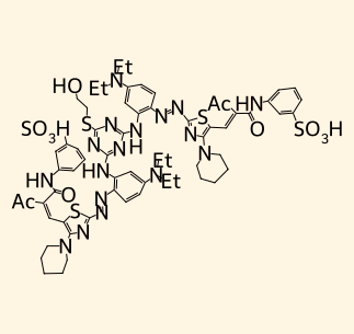 CCN(CC)c1ccc(/N=N/c2nc(N3CCCCC3)c(/C=C(/C(C)=O)C(=O)Nc3cccc(S(=O)(=O)O)c3)s2)c(Nc2nc(Nc3cc(N(CC)CC)ccc3/N=N/c3nc(N4CCCCC4)c(/C=C(\C(C)=O)C(=O)Nc4cccc(S(=O)(=O)O)c4)s3)nc(SCCO)n2)c1